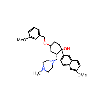 COc1cccc(COC2CCC(O)(c3ccc4cc(OC)ccc4c3)C(CN3CCN(C)CC3)C2)c1